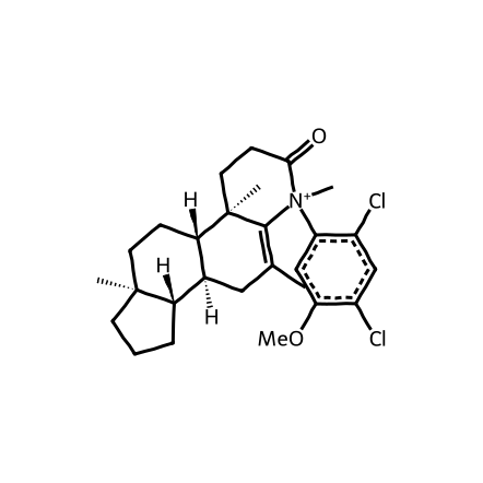 COc1cc([N+]2(C)C(=O)CC[C@@]3(C)C2=C(C)C[C@H]2[C@@H]4CCC[C@@]4(C)CC[C@@H]23)c(Cl)cc1Cl